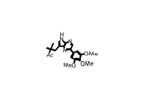 COc1cc(-c2cnc3[nH]cc(CC(C)(C)C(C)=O)c3n2)cc(OC)c1OC